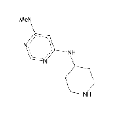 CNc1cc(NC2CCNCC2)ncn1